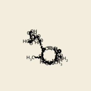 CCCCCC(=O)N[C@H]1CSCc2cc(CSCCNC(=O)CCP(=O)(O)CN3CCN(CP(=O)(O)CO)CCN(CP(=O)(O)CO)CC3)cc(c2)CSCCNC(=O)[C@H](Cc2ccccc2)NC(=O)[C@H](CCC(N)=O)NC(=O)[C@H]([C@@H](C)O)NC(=O)[C@@H]2CCCN2C(=O)[C@@H]2CCCN2C1=O